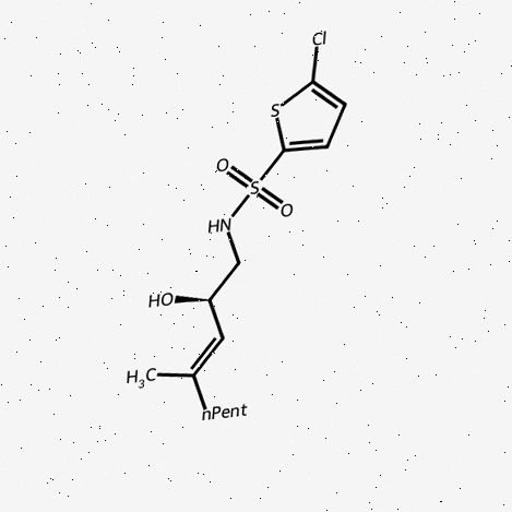 CCCCCC(C)=C[C@@H](O)CNS(=O)(=O)c1ccc(Cl)s1